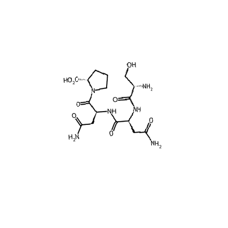 NC(=O)C[C@H](NC(=O)[C@@H](N)CO)C(=O)N[C@@H](CC(N)=O)C(=O)N1CCC[C@H]1C(=O)O